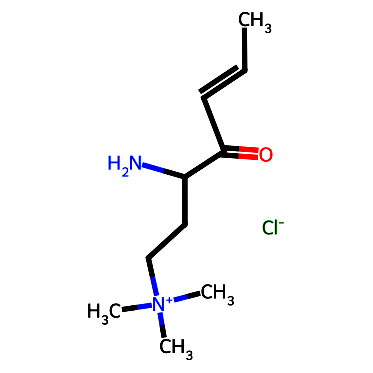 CC=CC(=O)C(N)CC[N+](C)(C)C.[Cl-]